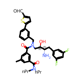 CCCN(CCC)C(=O)c1cc(C)cc(C(=O)N(Cc2cccc(-c3ccc(C=O)s3)c2)C[C@@H](O)[C@@H](N)Cc2cc(F)cc(F)c2)c1